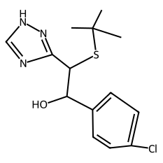 CC(C)(C)SC(c1nc[nH]n1)C(O)c1ccc(Cl)cc1